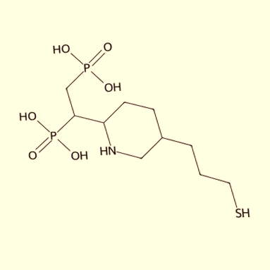 O=P(O)(O)CC(C1CCC(CCCS)CN1)P(=O)(O)O